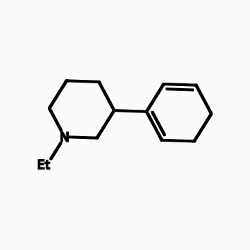 CCN1CCCC(C2=CCCC=C2)C1